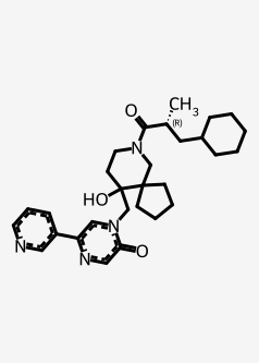 C[C@H](CC1CCCCC1)C(=O)N1CCC(O)(Cn2cc(-c3cccnc3)ncc2=O)C2(CCCC2)C1